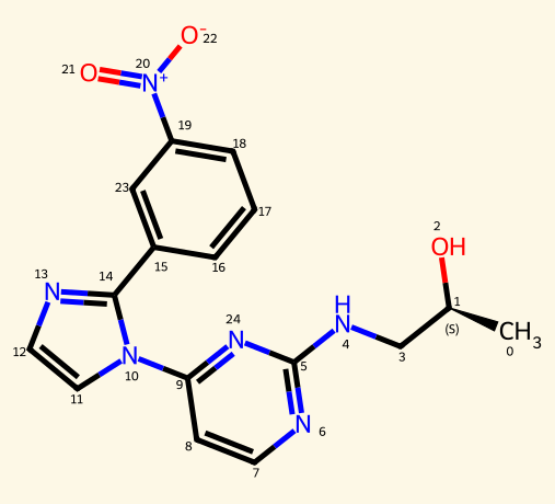 C[C@H](O)CNc1nccc(-n2ccnc2-c2cccc([N+](=O)[O-])c2)n1